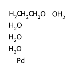 O.O.O.O.O.O.O.[Pd]